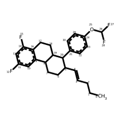 CCCC=CC1CCC2c3cc(F)cc(F)c3CCC2C1c1ccc(OC(F)F)cc1